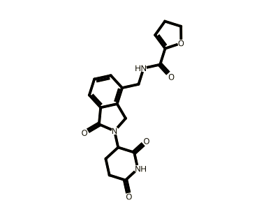 O=C1CCC(N2Cc3c(CNC(=O)C4=CCCO4)cccc3C2=O)C(=O)N1